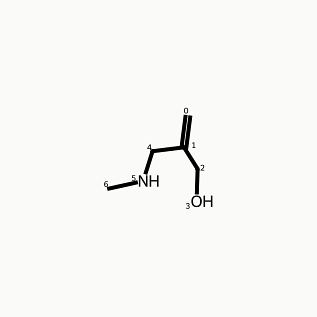 C=C(CO)CNC